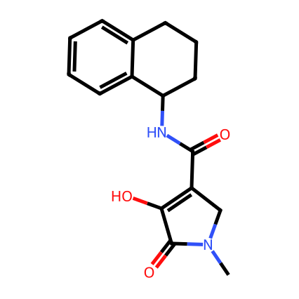 CN1CC(C(=O)NC2CCCc3ccccc32)=C(O)C1=O